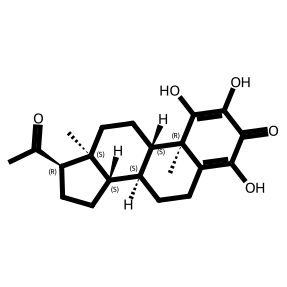 CC(=O)[C@@H]1CC[C@H]2[C@@H]3CCC4=C(O)C(=O)C(O)=C(O)[C@]4(C)[C@H]3CC[C@]12C